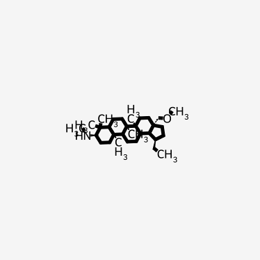 CC[C@@H]1CC[C@]2(COC)CC[C@]3(C)C(CCC4[C@@]5(C)CC[C@@H](NC)C(C)(C)C5CC[C@]43C)C12